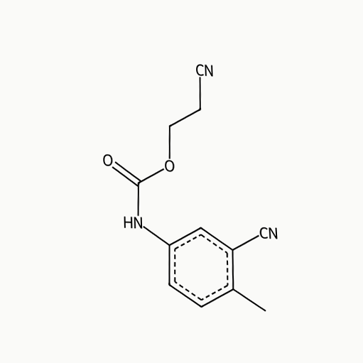 Cc1ccc(NC(=O)OCCC#N)cc1C#N